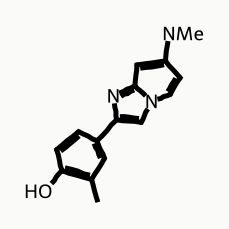 CNc1ccn2cc(-c3ccc(O)c(C)c3)nc2c1